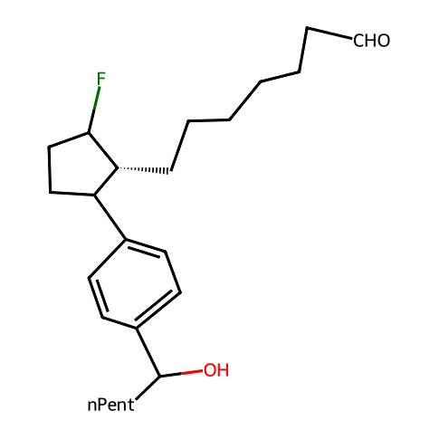 CCCCCC(O)c1ccc(C2CCC(F)[C@@H]2CCCCCCC=O)cc1